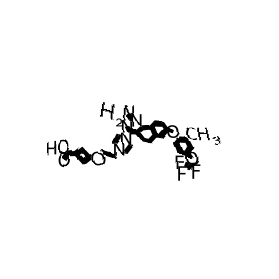 Cc1cc(OC(F)(F)F)ccc1Oc1ccc2c(c1)CCc1c-2nc(N)nc1N1CCN(CCOC2CC(C(=O)O)C2)CC1